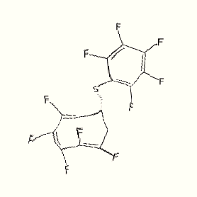 FC1=C\[C@H](Sc2c(F)c(F)c(F)c(F)c2F)C/C(F)=C(F)/C(F)=C\1F